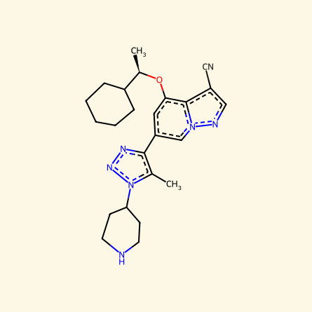 Cc1c(-c2cc(O[C@H](C)C3CCCCC3)c3c(C#N)cnn3c2)nnn1C1CCNCC1